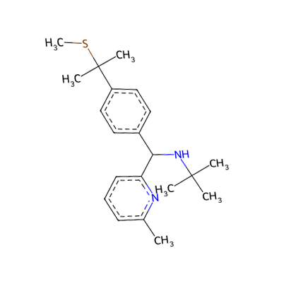 CSC(C)(C)c1ccc(C(NC(C)(C)C)c2cccc(C)n2)cc1